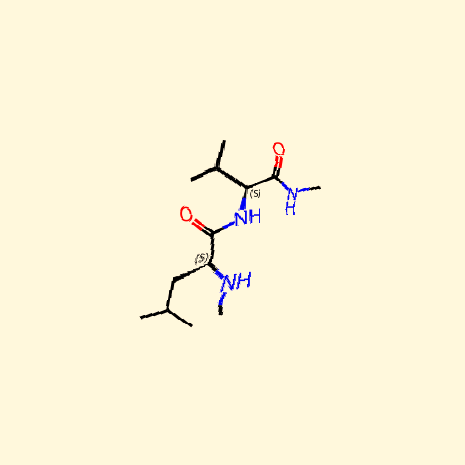 CNC(=O)[C@@H](NC(=O)[C@H](CC(C)C)NC)C(C)C